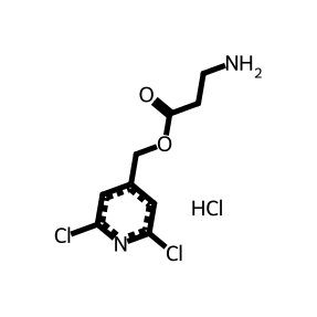 Cl.NCCC(=O)OCc1cc(Cl)nc(Cl)c1